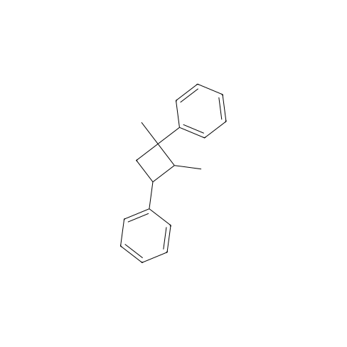 CC1C(c2ccccc2)CC1(C)c1ccccc1